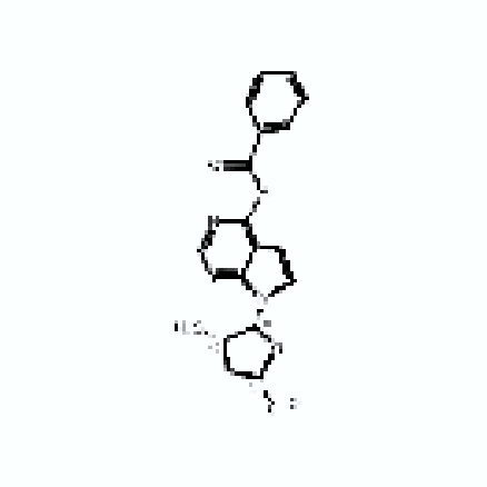 C[C@H]1C[C@@H](C=O)O[C@H]1n1ccc2c(NC(=O)c3ccccc3)ncnc21